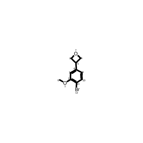 COc1cc(C2COC2)ccc1Br